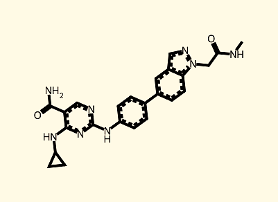 CNC(=O)Cn1ncc2cc(-c3ccc(Nc4ncc(C(N)=O)c(NC5CC5)n4)cc3)ccc21